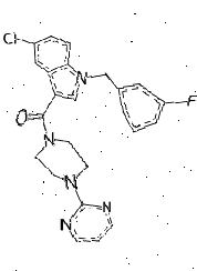 O=C(c1cn(Cc2cccc(F)c2)c2ccc(Cl)cc12)N1CCN(c2ncccn2)CC1